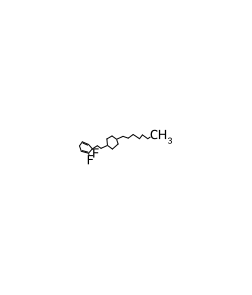 CCCCCCCC1CCC(CCC2(F)C=CCC=C2F)CC1